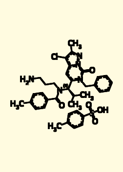 Cc1ccc(C(=O)N(CCCN)[C@@H](c2cc3c(Cl)c(C)nn3c(=O)n2Cc2ccccc2)C(C)C)cc1.Cc1ccc(S(=O)(=O)O)cc1